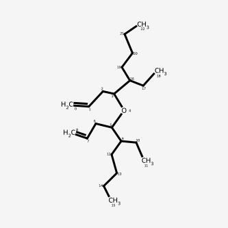 C=CCC(OC(CC=C)C(CC)CCCC)C(CC)CCCC